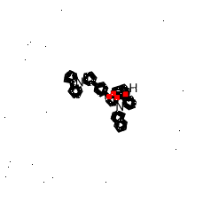 c1cc(-c2ccc(-c3ccc(N(c4ccc5ccccc5c4)c4ccccc4C45CC6C[C@H](C4)C[C@H](C6)C5)cc3)cc2)cc(-n2c3ccccc3c3ccccc32)c1